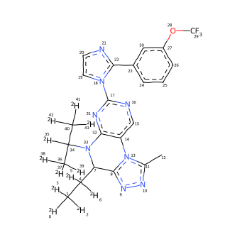 [2H]C([2H])([2H])C([2H])([2H])C1c2nnc(C)n2-c2cnc(-n3ccnc3-c3cccc(OC(F)(F)F)c3)nc2N1C([2H])(C([2H])([2H])[2H])C([2H])([2H])[2H]